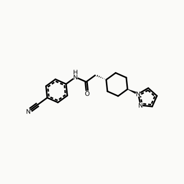 N#Cc1ccc(NC(=O)C[C@H]2CC[C@H](n3cccn3)CC2)cc1